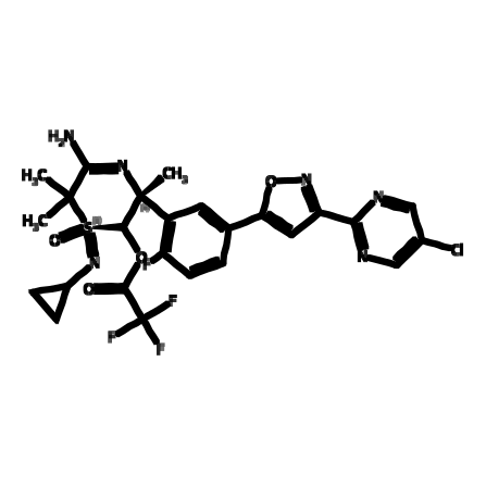 CC1(C)C(N)=N[C@](C)(c2cc(-c3cc(-c4ncc(Cl)cn4)no3)ccc2F)C(OC(=O)C(F)(F)F)[S@]1(=O)=NC1CC1